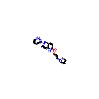 c1cnnc(N2CCc3nc(OCCCN4CCCC4)ccc3C2)c1